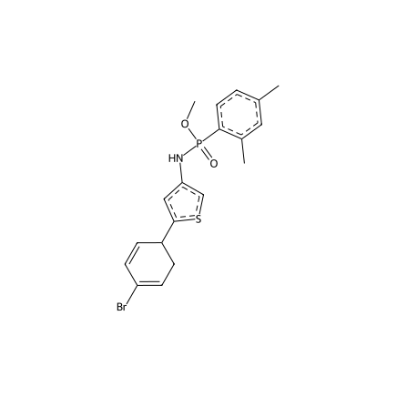 COP(=O)(Nc1csc(C2C=CC(Br)=CC2)c1)c1ccc(C)cc1C